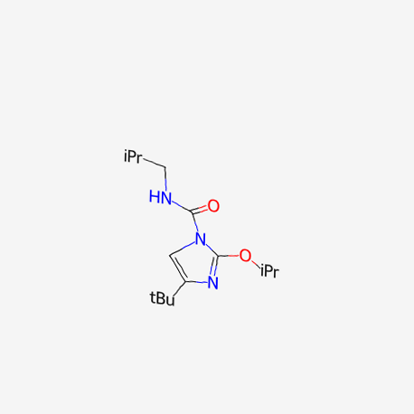 CC(C)CNC(=O)n1cc(C(C)(C)C)nc1OC(C)C